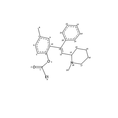 CCC(=O)Oc1ccc(C)cc1/C(=C/C1CCCCN1C)c1ccccc1